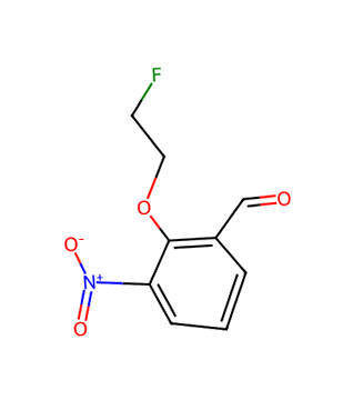 O=Cc1cccc([N+](=O)[O-])c1OCCF